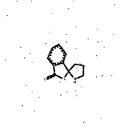 O=C1OC2(CCCN2)c2ccccc21